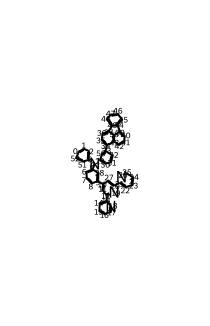 c1ccc(N(c2cccc(-c3cc(-c4ccccn4)nc(-c4ccccn4)c3)c2)c2cccc(-c3ccc4c5c(cccc35)-c3ccccc3-4)c2)cc1